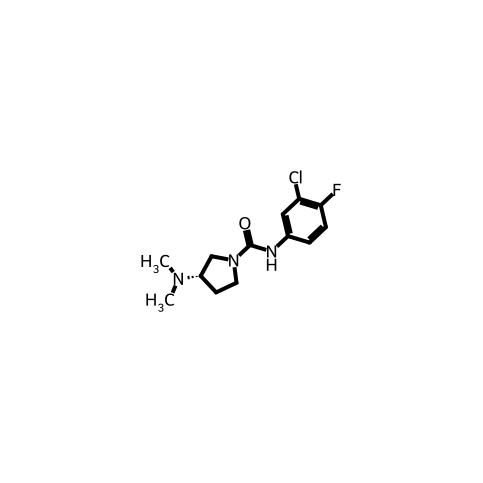 CN(C)[C@H]1CCN(C(=O)Nc2ccc(F)c(Cl)c2)C1